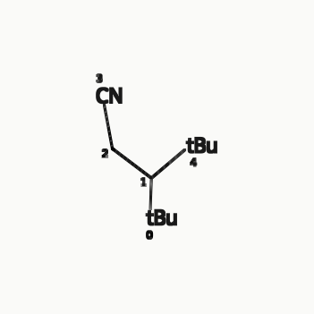 CC(C)(C)C(CC#N)C(C)(C)C